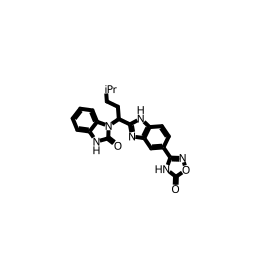 CC(C)CCC(c1nc2cc(-c3noc(=O)[nH]3)ccc2[nH]1)n1c(=O)[nH]c2ccccc21